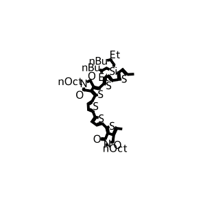 CCCCCCCCN1C(=O)c2c(C)sc(-c3ccc(-c4ccc(-c5sc(-c6cc7c(s6)-c6sc(C)cc6[Si]7(CC(CC)CCCC)CC(CC)CCCC)c6c5C(=O)N(CCCCCCCC)C6=O)s4)s3)c2C1=O